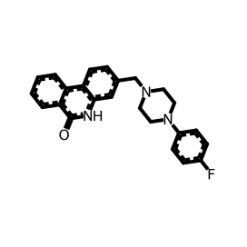 O=c1[nH]c2cc(CN3CCN(c4ccc(F)cc4)CC3)ccc2c2ccccc12